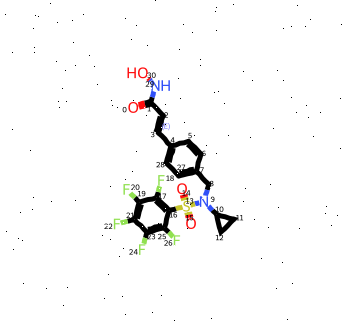 O=C(/C=C/c1ccc(CN(C2CC2)S(=O)(=O)c2c(F)c(F)c(F)c(F)c2F)cc1)NO